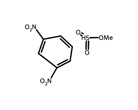 CO[SH](=O)=O.O=[N+]([O-])c1cccc([N+](=O)[O-])c1